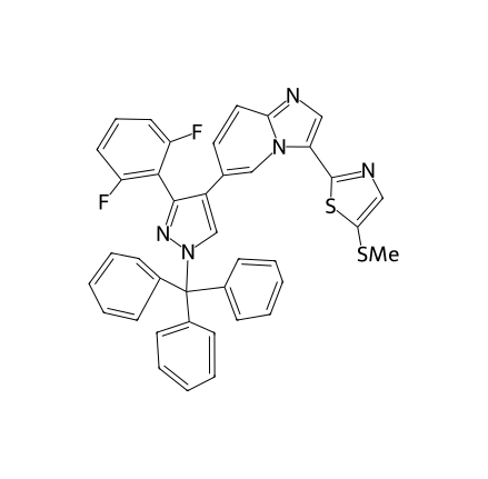 CSc1cnc(-c2cnc3ccc(-c4cn(C(c5ccccc5)(c5ccccc5)c5ccccc5)nc4-c4c(F)cccc4F)cn23)s1